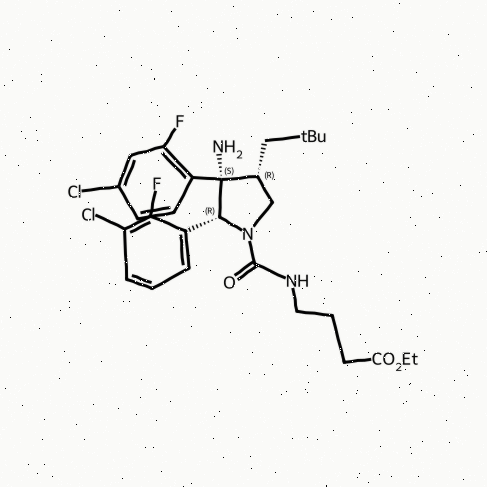 CCOC(=O)CCCNC(=O)N1C[C@@H](CC(C)(C)C)[C@](N)(c2ccc(Cl)cc2F)[C@H]1c1cccc(Cl)c1F